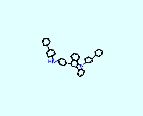 c1ccc(-c2ccc(Nc3ccc(-c4cc5c6ccccc6n(-c6ccc(-c7ccccc7)cc6)c5c5ccccc45)cc3)cc2)cc1